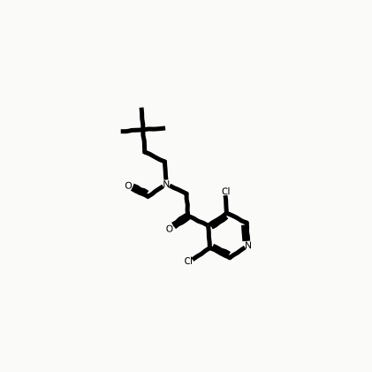 CC(C)(C)CCN(C=O)CC(=O)c1c(Cl)cncc1Cl